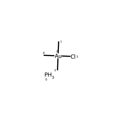 P.[CH3][Au]([CH3])([CH3])[Cl]